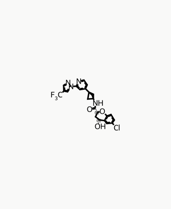 O=C(NC12CC(c3ccnc(-n4cc(C(F)(F)F)cn4)c3)(C1)C2)[C@H]1C[C@@H](O)c2cc(Cl)ccc2O1